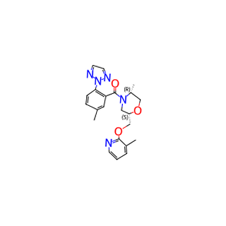 Cc1ccc(-n2nccn2)c(C(=O)N2C[C@@H](COc3ncccc3C)OC[C@H]2C)c1